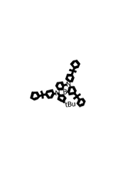 CC(C)(C)c1ccc2c(c1)B1c3cc(C(C)(C)c4ccccc4)ccc3N(c3ccc(C(C)(C)c4ccccc4)cc3)c3cccc(c31)N2c1ccc(C(C)(C)c2ccccc2)cc1